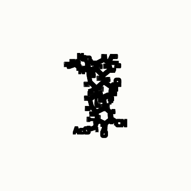 CC(=O)OC[C@]1(C)C(=O)C(C#N)=C[C@]2(C)C3=CC(=O)C4C5CC(C)(C)CC[C@]5(c5nc(C)no5)CC[C@@]4(C)[C@]3(C)CCC21